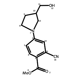 COC(=O)c1ccc(N2CCC(CO)C2)cc1C#N